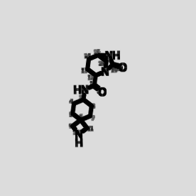 O=C(NC1CCC2(CC1)CNC2)C1CCC2CN1C(=O)N2